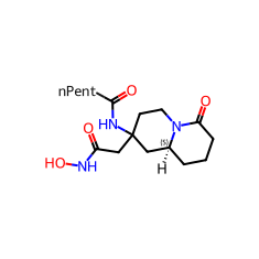 CCCCCC(=O)NC1(CC(=O)NO)CCN2C(=O)CCC[C@H]2C1